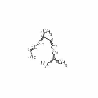 CC(=O)C=C=C=C(C)C=C=C=C(C)C